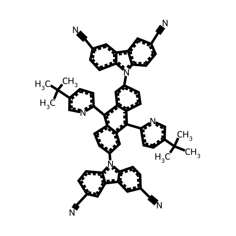 CC(C)(C)c1ccc(-c2c3ccc(-n4c5ccc(C#N)cc5c5cc(C#N)ccc54)cc3c(-c3ccc(C(C)(C)C)cn3)c3ccc(-n4c5ccc(C#N)cc5c5cc(C#N)ccc54)cc23)nc1